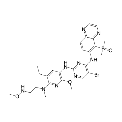 CCc1cc(Nc2ncc(Br)c(Nc3ccc4nccnc4c3P(C)(C)=O)n2)c(OC)nc1N(C)CCNOC